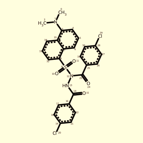 CN(C)c1cccc2c(S(=O)(=O)N(NC(=O)c3ccc(Cl)cc3)C(=O)c3ccc(Cl)cc3)cccc12